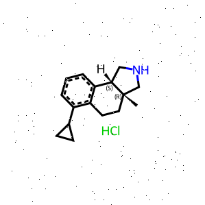 C[C@@]12CCc3c(C4CC4)cccc3[C@@H]1CNC2.Cl